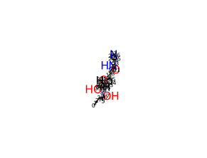 CC#CC[C@@H](C)[C@H](O)/C=C/[C@@H]1[C@H]2c3cccc(CCCC(=O)NCc4ccncc4)c3O[C@H]2C[C@H]1O